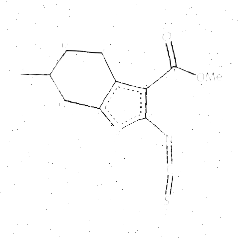 COC(=O)c1c(N=C=S)sc2c1CCC(C)C2